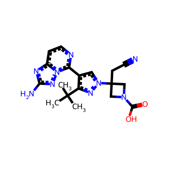 CC(C)(C)c1nn(C2(CC#N)CN(C(=O)O)C2)cc1-c1nccc2nc(N)nn12